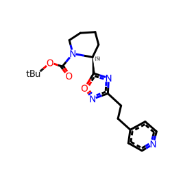 CC(C)(C)OC(=O)N1CCCC[C@H]1c1nc(CCc2ccncc2)no1